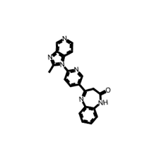 Cc1nc2cnccc2n1-c1ccc(C2=Nc3ccccc3NC(=O)C2)cn1